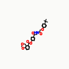 CC(C)(C)c1ccc(OCC(=O)NCC(=O)c2ccc(OC(=O)c3cccc4c3COCO4)cc2)cc1